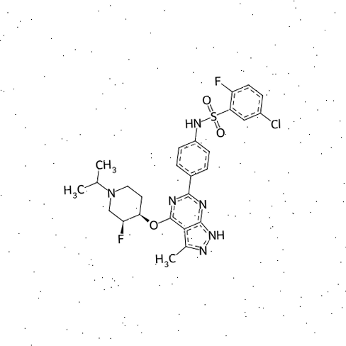 Cc1n[nH]c2nc(-c3ccc(NS(=O)(=O)c4cc(Cl)ccc4F)cc3)nc(O[C@@H]3CCN(C(C)C)C[C@@H]3F)c12